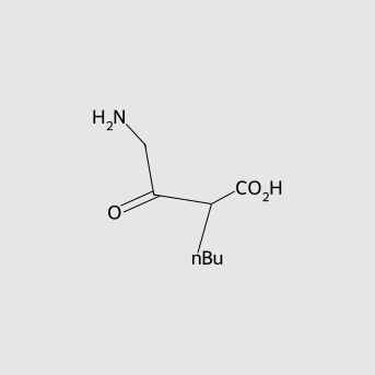 CCCCC(C(=O)O)C(=O)CN